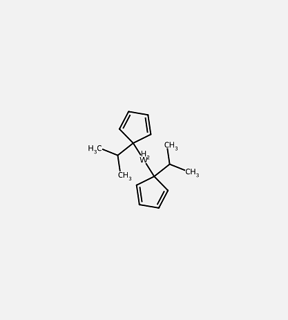 CC(C)[C]1([WH2][C]2(C(C)C)C=CC=C2)C=CC=C1